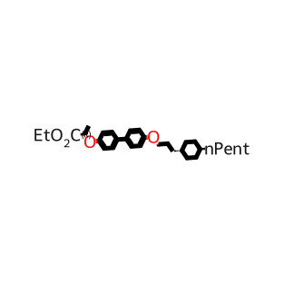 CCCCC[C@H]1CC[C@H](CCCOc2ccc(-c3ccc(O[C@H](C)C(=O)OCC)cc3)cc2)CC1